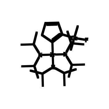 CC(C)[N](C(C)C)[Zr]([C]1=[C]([Ge]([CH3])([CH3])[F])C=CC1)([N](C(C)C)C(C)C)[N](C(C)C)C(C)C